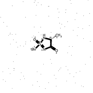 C[C@H]1NS(=O)(C(C)(C)C)=NC1=O